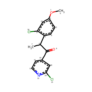 COc1ccc(C(C)C(=O)c2ccnc(Cl)c2)c(Cl)c1